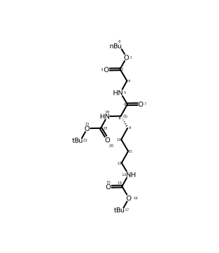 CCCCOC(=O)CNC(=O)[C@H](CCCCNC(=O)OC(C)(C)C)NC(=O)OC(C)(C)C